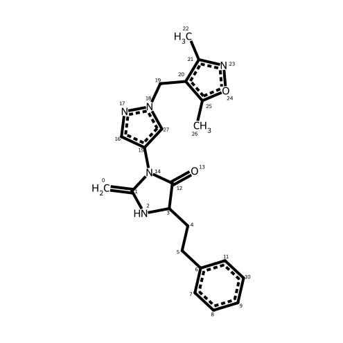 C=C1NC(CCc2ccccc2)C(=O)N1c1cnn(Cc2c(C)noc2C)c1